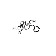 CN(C)C1(C#N)CCC(Cc2ccccc2)CC1.Cl